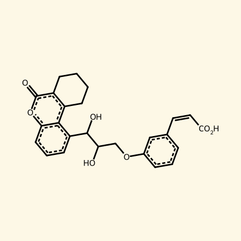 O=C(O)/C=C\c1cccc(OCC(O)C(O)c2cccc3oc(=O)c4c(c23)CCCC4)c1